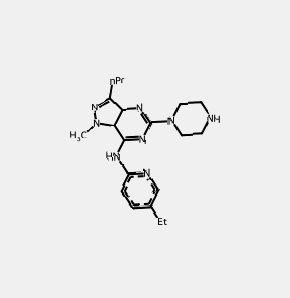 CCCC1=NN(C)C2C(Nc3ccc(CC)cn3)=NC(N3CCNCC3)=NC12